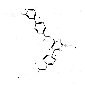 COc1cccc(-c2ccc([C@H](Oc3cc(-c4ccc(C[C@H](N)C(=O)O)cc4)nc(N)n3)C(F)(F)F)cc2)c1